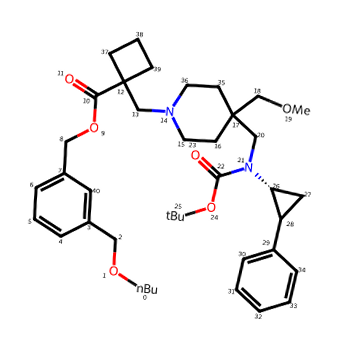 CCCCOCc1cccc(COC(=O)C2(CN3CCC(COC)(CN(C(=O)OC(C)(C)C)[C@@H]4CC4c4ccccc4)CC3)CCC2)c1